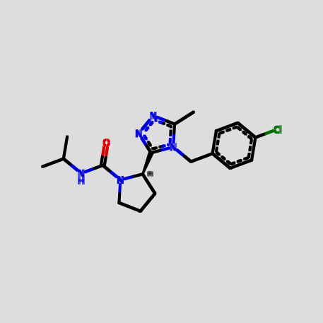 Cc1nnc([C@H]2CCCN2C(=O)NC(C)C)n1Cc1ccc(Cl)cc1